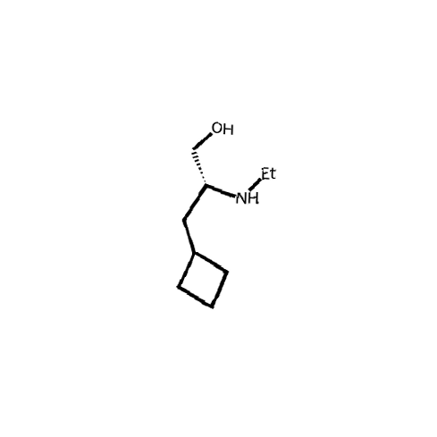 CCN[C@@H](CO)CC1CCC1